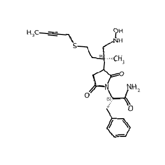 CC#CCSCC[C@@](C)(CNO)C1CC(=O)N([C@@H](Cc2ccccc2)C(N)=O)C1=O